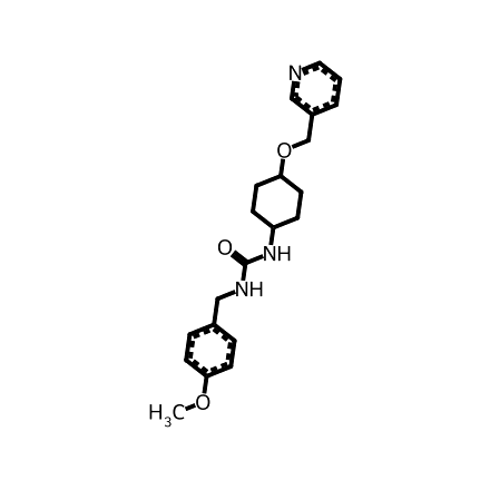 COc1ccc(CNC(=O)NC2CCC(OCc3cccnc3)CC2)cc1